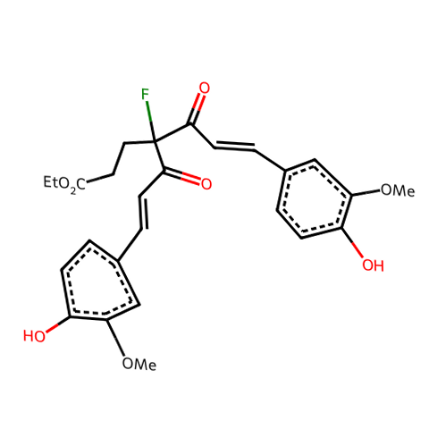 CCOC(=O)CCC(F)(C(=O)/C=C/c1ccc(O)c(OC)c1)C(=O)/C=C/c1ccc(O)c(OC)c1